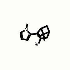 Cn1cccc1C1=C(Br)CC2CC1C2(C)C